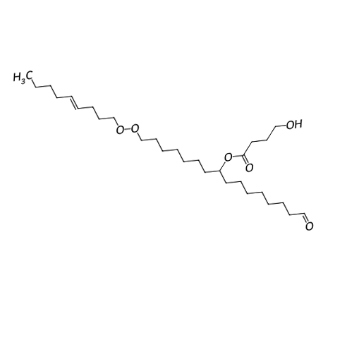 CCCC/C=C/CCCOOCCCCCCCC(CCCCCCCC=O)OC(=O)CCCO